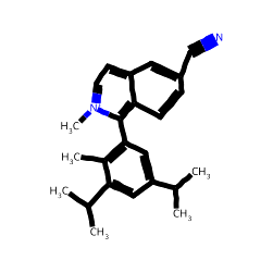 Cc1c(-c2c3ccc(C#N)cc3cc[n+]2C)cc(C(C)C)cc1C(C)C